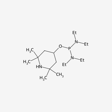 CCN(CC)P(OC1CC(C)(C)NC(C)(C)C1)N(CC)CC